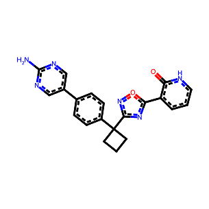 Nc1ncc(-c2ccc(C3(c4noc(-c5ccc[nH]c5=O)n4)CCC3)cc2)cn1